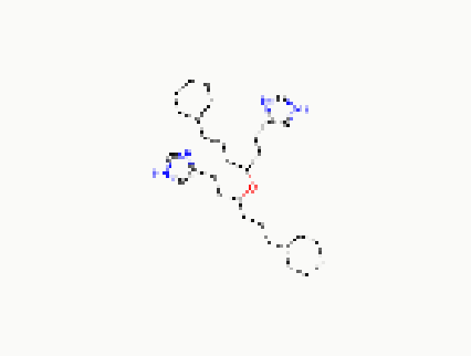 c1nc(CCC(CCCC2CCCCC2)OC(CCCC2CCCCC2)CCc2c[nH]cn2)c[nH]1